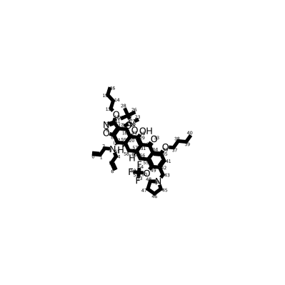 C=CCN(CC=C)[C@@H]1c2onc(OCCCC)c2C(=O)[C@@]2(O[Si](C)(C)C(C)(C)C)C(O)=C3C(=O)c4c(OCCCC)cc(CN5CCCC5)c(OC(F)(F)F)c4C[C@H]3C[C@@H]12